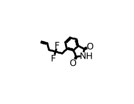 C=CCC(F)(F)Cc1cccc2c1C(=O)NC2=O